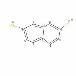 Fc1ccc2ccc(S)cc2c1